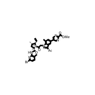 C=C[C@@H]1[C@@H](C)C[C@@H](C(=O)Nc2nc(Br)ccc2C)N1C(=O)Cn1nc(C(C)=O)c2cc(-c3cnc(C(=O)OC)nc3)cc(C)c21